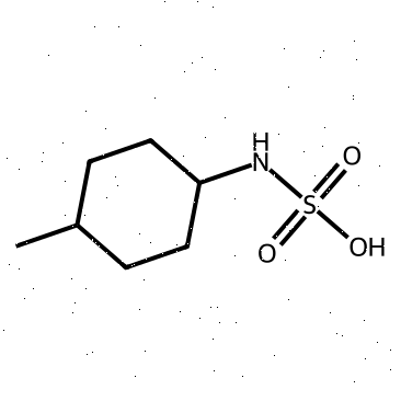 CC1CCC(NS(=O)(=O)O)CC1